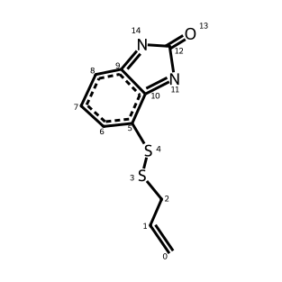 C=CCSSc1cccc2c1=NC(=O)N=2